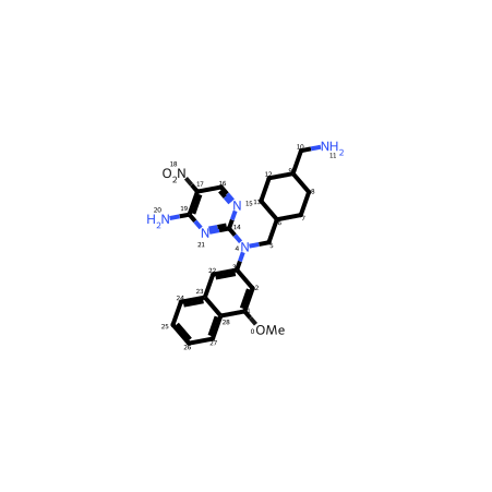 COc1cc(N(CC2CCC(CN)CC2)c2ncc([N+](=O)[O-])c(N)n2)cc2ccccc12